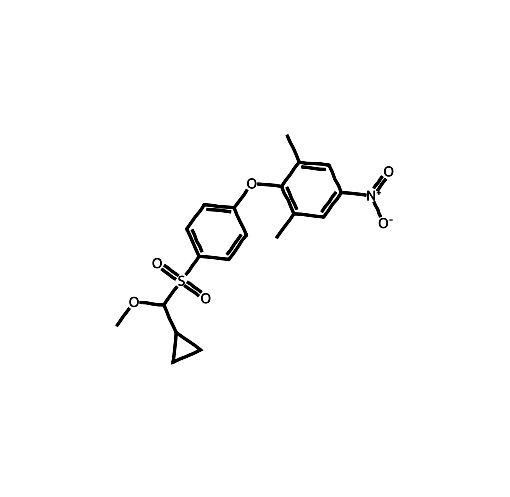 COC(C1CC1)S(=O)(=O)c1ccc(Oc2c(C)cc([N+](=O)[O-])cc2C)cc1